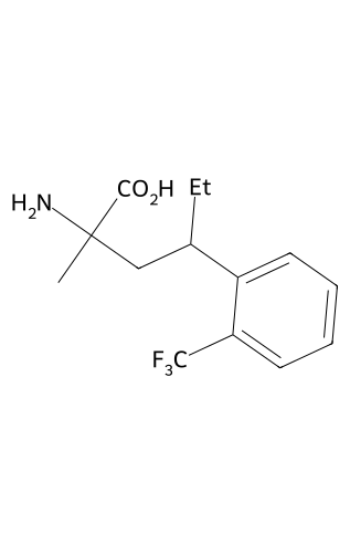 CCC(CC(C)(N)C(=O)O)c1ccccc1C(F)(F)F